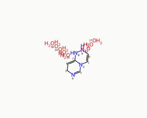 C1=CN2C=NCC=C2NN1.O.O.O.O.O.O.O.O